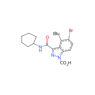 CC(C)(C)c1c(Br)ccc2c1c(C(=O)NC1CCCCC1)nn2C(=O)O